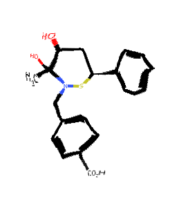 CC1(O)C(O)C[C@@H](c2ccccc2)SN1Cc1ccc(C(=O)O)cc1